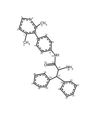 Cc1ccnc(C)c1-c1ccc(NC(=O)C(N)C(c2ccccc2)c2ccccc2)cc1